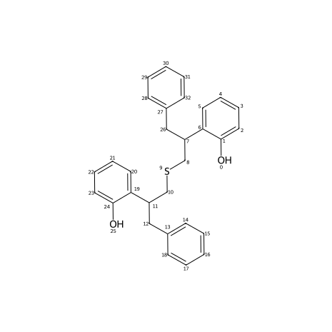 Oc1ccccc1C(CSCC(Cc1ccccc1)c1ccccc1O)Cc1ccccc1